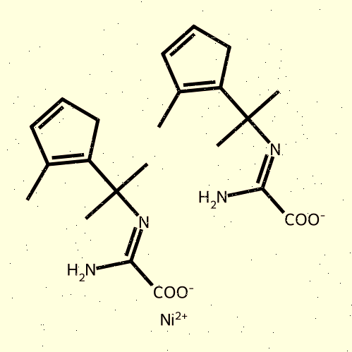 CC1=C(C(C)(C)N=C(N)C(=O)[O-])CC=C1.CC1=C(C(C)(C)N=C(N)C(=O)[O-])CC=C1.[Ni+2]